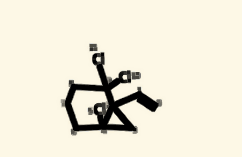 C=CC12CC1(Cl)CCCC2(Cl)Cl